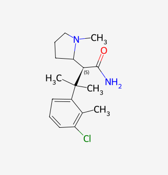 Cc1c(Cl)cccc1C(C)(C)[C@H](C(N)=O)C1CCCN1C